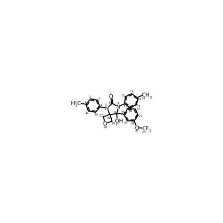 Cc1ccc(N2C(=O)N(c3ccc(C)cc3)C(O)(c3cccc(OC(F)(F)F)c3)C23COC3)cc1